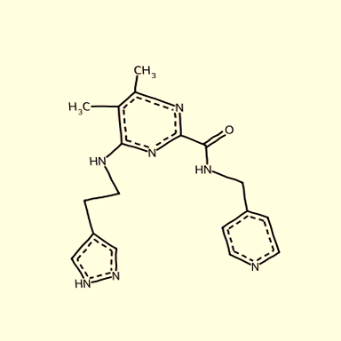 Cc1nc(C(=O)NCc2ccncc2)nc(NCCc2cn[nH]c2)c1C